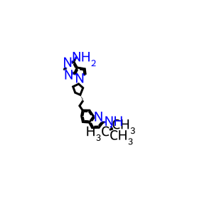 CC(C)(C)Nc1ccc2ccc(CC[C@@H]3CC[C@H](n4ccc5c(N)ncnc54)C3)cc2n1